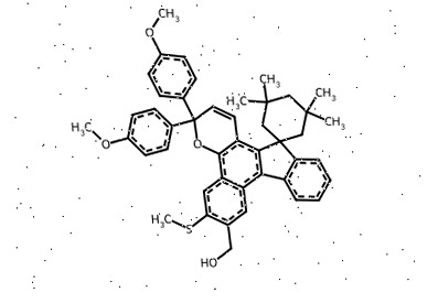 COc1ccc(C2(c3ccc(OC)cc3)C=Cc3c4c(c5cc(CO)c(SC)cc5c3O2)-c2ccccc2C42CC(C)(C)CC(C)(C)C2)cc1